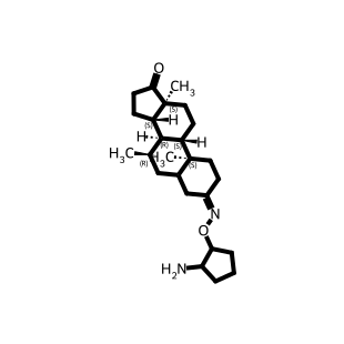 C[C@@H]1CC2CC(=NOC3CCCC3N)CC[C@]2(C)[C@H]2CC[C@]3(C)C(=O)CC[C@H]3[C@H]12